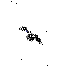 COC(=O)[C@H]1[C@H]2C[C@@H]3c4[nH]c5cc(OC)ccc5c4CCN3C[C@H]2C[C@@H](OC(=O)/C=C/c2ccc(C)c([S+](C)[O-])c2)[C@@H]1OC